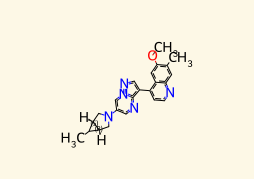 COc1cc2c(-c3cnn4cc(N5C[C@@H]6C(C)[C@@H]6C5)cnc34)ccnc2cc1C